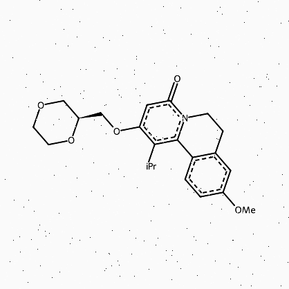 COc1ccc2c(c1)CCn1c-2c(C(C)C)c(OC[C@@H]2COCCO2)cc1=O